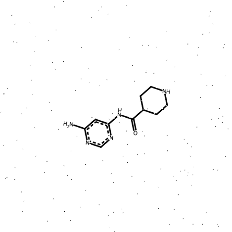 Nc1cc(NC(=O)C2CCNCC2)ncn1